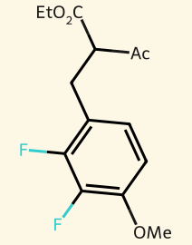 CCOC(=O)C(Cc1ccc(OC)c(F)c1F)C(C)=O